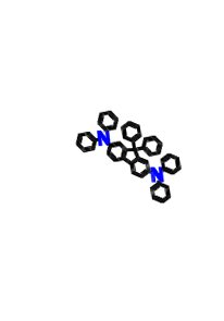 c1ccc(N(c2ccccc2)c2ccc3c(c2)C(c2ccccc2)(c2ccccc2)c2cc(N(c4ccccc4)c4ccccc4)ccc2-3)cc1